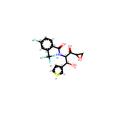 O=C(NC(C(=O)C1CO1)C(O)c1ccsc1)c1ccc(F)cc1C(F)(F)F